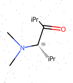 CC(C)C(=O)[C@H](C(C)C)N(C)C